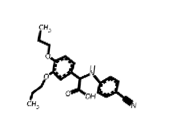 CCCOc1ccc(C(Nc2ccc(C#N)cc2)C(=O)O)cc1OCCC